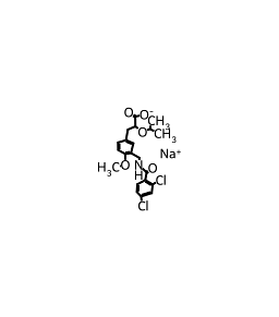 COc1ccc(CC(OC(C)C)C(=O)[O-])cc1CNC(=O)c1ccc(Cl)cc1Cl.[Na+]